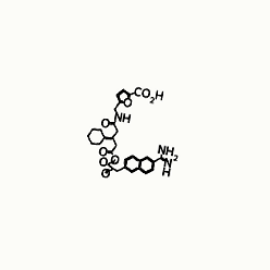 N=C(N)c1ccc2cc(CS(=O)(=O)OC(=O)CC(CC(=O)NCc3ccc(C(=O)O)o3)=C3CCCCC3)ccc2c1